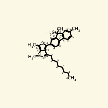 CCCCCCCCc1nn(C)c2c(C)sc(-c3ccc4c(c3)C(C)(C)c3cc(C)ccc3-4)c12